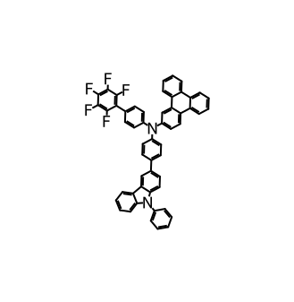 Fc1c(F)c(F)c(-c2ccc(N(c3ccc(-c4ccc5c(c4)c4ccccc4n5-c4ccccc4)cc3)c3ccc4c5ccccc5c5ccccc5c4c3)cc2)c(F)c1F